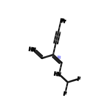 CC(C)C#C/C(C=N)=C/NC(F)F